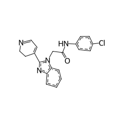 O=C(Cn1c(C2=CC=NCC2)nc2ccccc21)Nc1ccc(Cl)cc1